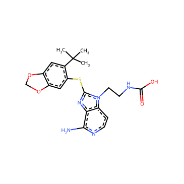 CC(C)(C)c1cc2c(cc1Sc1nc3c(N)nccc3n1CCNC(=O)O)OCO2